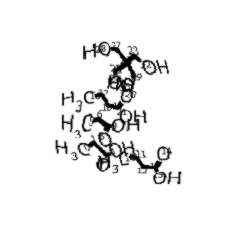 CCC(=O)O.CCC(=O)O.CCCC(=O)O.CCCC(=O)O.OCC(CO)(CO)CO